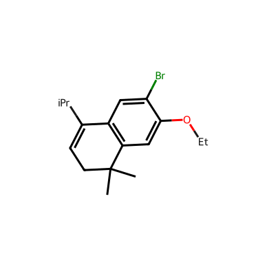 CCOc1cc2c(cc1Br)C(C(C)C)=CCC2(C)C